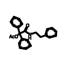 CC(=O)OC(C(=O)NCCc1ccccc1)(c1ccccc1)c1ccccc1